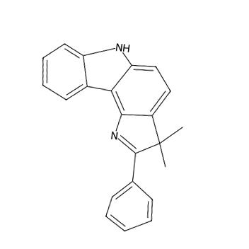 CC1(C)C(c2ccccc2)=Nc2c1ccc1[nH]c3ccccc3c21